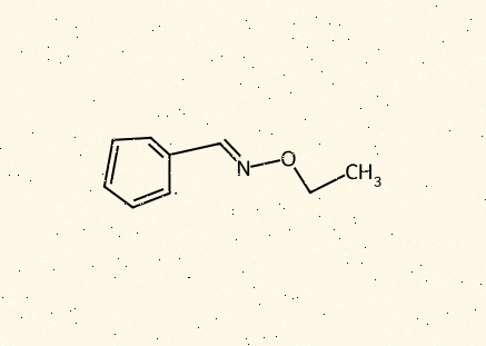 CCO/N=C/c1[c]cccc1